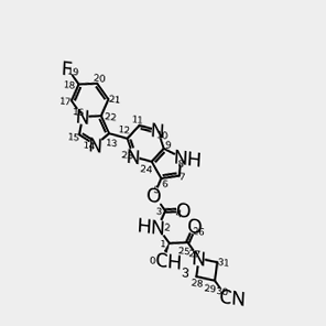 C[C@@H](NC(=O)Oc1c[nH]c2ncc(-c3ncn4cc(F)ccc34)nc12)C(=O)N1CC(C#N)C1